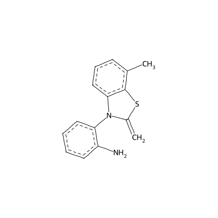 C=C1Sc2c(C)cccc2N1c1ccccc1N